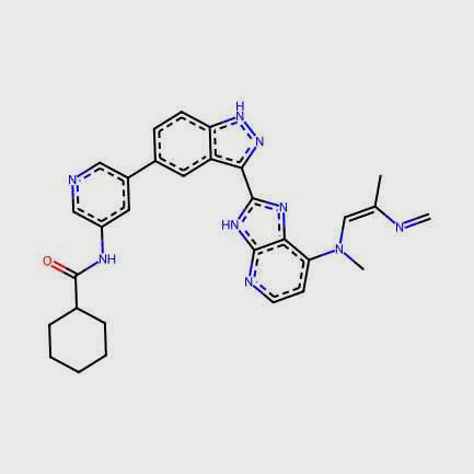 C=N/C(C)=C\N(C)c1ccnc2[nH]c(-c3n[nH]c4ccc(-c5cncc(NC(=O)C6CCCCC6)c5)cc34)nc12